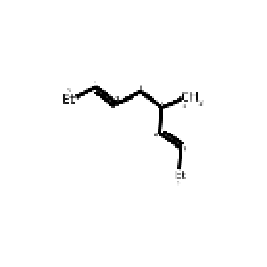 CCC=CCC(C)C=CCC